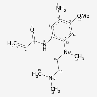 C=CC(=O)Nc1cc(N)c(OC)cc1N(C)CCN(C)C